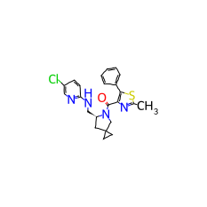 Cc1nc(C(=O)N2CC3(CC3)C[C@H]2CNc2ccc(Cl)cn2)c(-c2ccccc2)s1